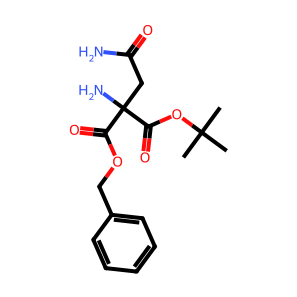 CC(C)(C)OC(=O)C(N)(CC(N)=O)C(=O)OCc1ccccc1